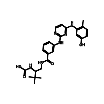 Cc1ccc(O)cc1Nc1ccnc(Nc2cccc(C(=O)NCC(NC(=O)O)C(C)(C)C)c2)n1